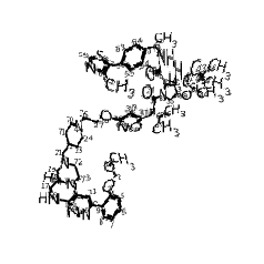 COCOc1ccccc1-c1cc2c(nn1)NC[C@H]1CN(CC3CCN(CCOc4cc([C@H](C(=O)N5C[C@H](O[Si](C)(C)C(C)(C)C)C[C@H]5C(=O)N[C@@H](C)c5ccc(-c6scnc6C)cc5)C(C)C)on4)CC3)CCN21